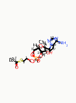 CC(C)(C)C(=O)SCCO[P@]1(=O)OC[C@H]2O[C@@](C#N)(c3ccc4c(N)ncnn34)[C@H](O)[C@@H]2O1